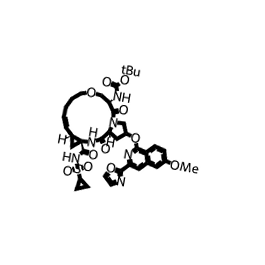 COc1ccc2c(OC3C[C@H]4C(=O)N[C@]5(C(=O)NS(=O)(=O)C6CC6)C[C@H]5/C=C\CCCOC[C@H](NC(=O)OC(C)(C)C)C(=O)N4C3)nc(-c3ncco3)cc2c1